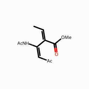 C/C=C(C(=O)OC)\C(=C/C(C)=O)NC(C)=O